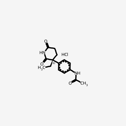 CC[C@]1(c2ccc(NC(C)=O)cc2)CCC(=O)NC1=O.Cl